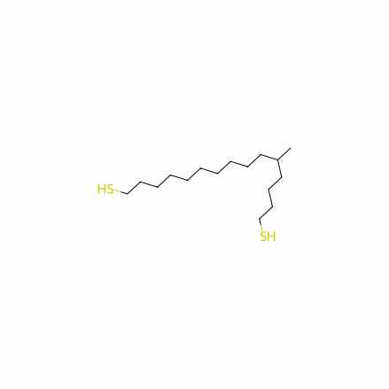 CC(CCCCS)CCCCCCCCCCS